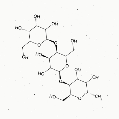 C[C@@H]1O[C@@H](CO)[C@@H](O[C@@H]2OC(CO)[C@H](O[C@H]3OC(CO)[C@H](O)[C@H](O)C3O)[C@H](O)C2O)C(O)C1O